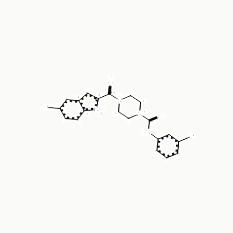 O=C(Nc1cccc(I)c1)N1CCN(C(=O)c2cc3cc(Cl)ccc3[nH]2)CC1